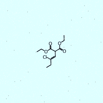 CCOC(=O)C(C=C(Cl)CC)C(=O)OCC